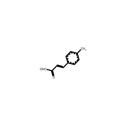 Cc1ccc(/C=C/C(=O)[C]=O)cc1